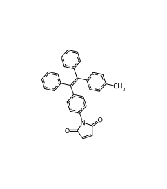 Cc1ccc(C(=C(c2ccccc2)c2ccc(N3C(=O)C=CC3=O)cc2)c2ccccc2)cc1